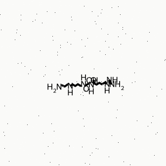 N=C(N)NCCCCC(=O)NC(O)C(=O)NCCCCNCCCN